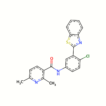 Cc1ccc(C(=O)Nc2ccc(Cl)c(-c3nc4ccccc4s3)c2)c(C)n1